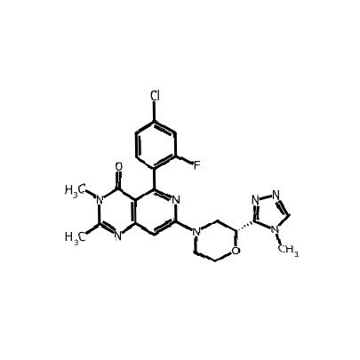 Cc1nc2cc(N3CCO[C@@H](c4nncn4C)C3)nc(-c3ccc(Cl)cc3F)c2c(=O)n1C